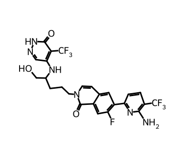 Nc1nc(-c2cc3ccn(CCCC(CO)Nc4cn[nH]c(=O)c4C(F)(F)F)c(=O)c3cc2F)ccc1C(F)(F)F